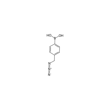 [N-]=[N+]=NCc1ccc(B(O)O)cc1